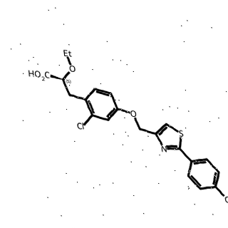 CCO[C@@H](Cc1ccc(OCc2csc(-c3ccc(Cl)cc3)n2)cc1Cl)C(=O)O